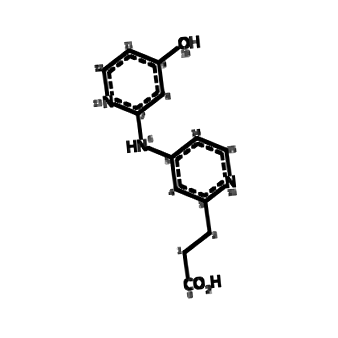 O=C(O)CCc1cc(Nc2cc(O)ccn2)ccn1